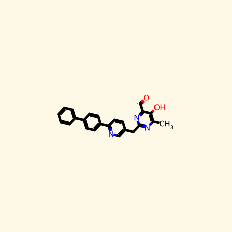 Cc1nc(Cc2ccc(-c3ccc(-c4ccccc4)cc3)nc2)nc([C]=O)c1O